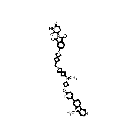 Cn1c2ccncc2c2ccc(-c3ccc(O[C@H]4C[C@H](N(C)C5CC6(C5)CN(CC5CC7(C5)CN(c5ccc8c(c5)C(=O)N(C5CCC(=O)NC5=O)C8=O)C7)C6)C4)nc3)cc21